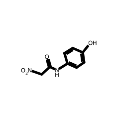 O=C(C[N+](=O)[O-])Nc1ccc(O)cc1